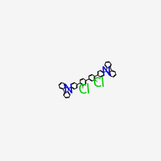 Clc1cc(-c2ccc(-c3ccc(-n4c5ccccc5c5ccccc54)cc3)c(Cl)c2)ccc1-c1ccc(-n2c3ccccc3c3ccccc32)cc1